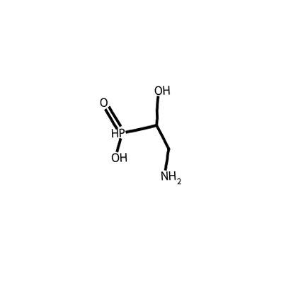 NCC(O)[PH](=O)O